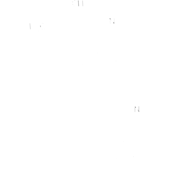 Cc1ccc2c(-c3ccc(C4CC4)nc3)ccnc2c1C